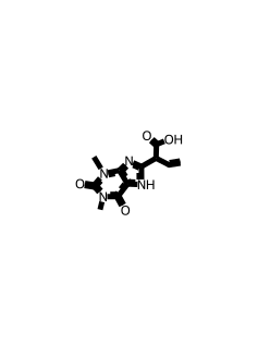 C=CC(C(=O)O)c1nc2c([nH]1)c(=O)n(C)c(=O)n2C